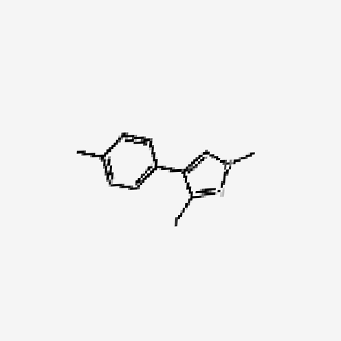 Cc1ccc(-c2cn(C)nc2I)cc1